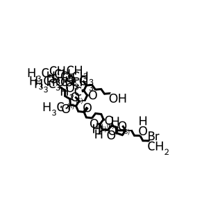 C=C(Br)CC(O)CC[C@@]12CC3OC4[C@@H](OC5CCC(CC(=O)CC6[C@@H](OC)C(CC(CO[Si](C)(C)C(C)(C)C)O[Si](C)(C)C(C)(C)C)O[C@H]6CC6OC(CCCO)CC(C)C6=C)O[C@@H]5[C@@H]4O1)C3O2